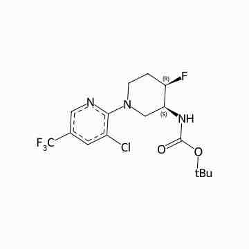 CC(C)(C)OC(=O)N[C@H]1CN(c2ncc(C(F)(F)F)cc2Cl)CC[C@H]1F